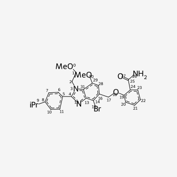 COCCn1c(-c2ccc(C(C)C)cc2)nc2c(Br)c(COc3ccccc3C(N)=O)cc(OC)c21